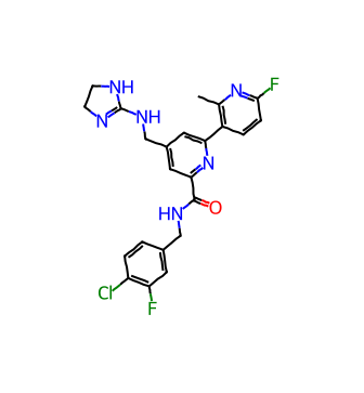 Cc1nc(F)ccc1-c1cc(CNC2=NCCN2)cc(C(=O)NCc2ccc(Cl)c(F)c2)n1